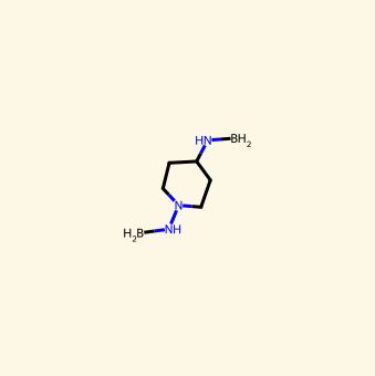 BNC1CCN(NB)CC1